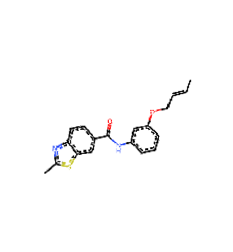 CC=CCOc1cccc(NC(=O)c2ccc3nc(C)sc3c2)c1